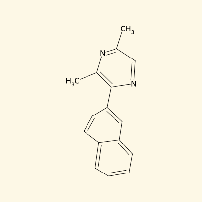 Cc1cnc(-c2ccc3ccccc3c2)c(C)n1